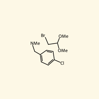 CNCc1ccc(Cl)cc1.COC(CBr)OC